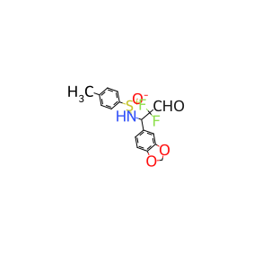 Cc1ccc([S+]([O-])NC(c2ccc3c(c2)OCO3)C(F)(F)C=O)cc1